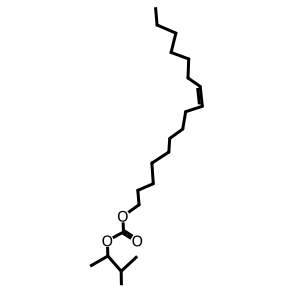 CCCCCC/C=C\CCCCCCCCOC(=O)OC(C)C(C)C